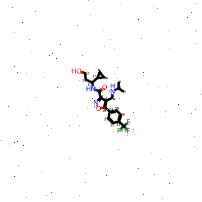 CC(C)NCc1c(C(=O)NC(CCO)C2CC2)noc1-c1ccc(C(F)(F)F)cc1